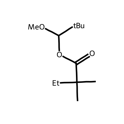 CCC(C)(C)C(=O)OC(OC)C(C)(C)C